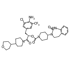 Nc1c(Cl)cc(C[C@@H](OC(=O)N2CCC(N3CCc4ccccc4NC3=O)CC2)C(=O)N2CCC(C3CCOCC3)CC2)cc1C(F)(F)F